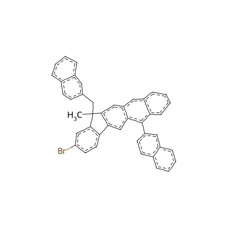 CC1(Cc2ccc3ccccc3c2)c2cc(Br)ccc2-c2cc3c(-c4ccc5ccccc5c4)c4ccccc4cc3cc21